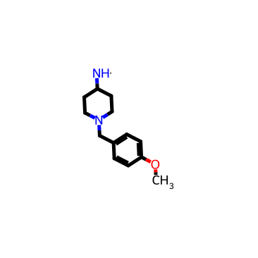 COc1ccc(CN2CCC([NH])CC2)cc1